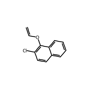 C=COc1c(Cl)ccc2ccccc12